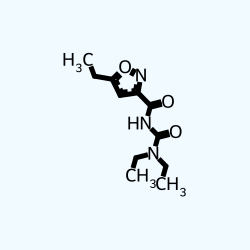 CCc1cc(C(=O)NC(=O)N(CC)CC)no1